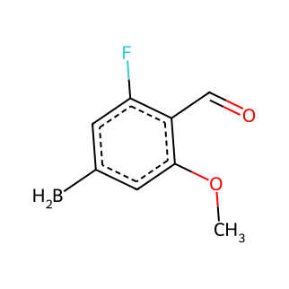 Bc1cc(F)c(C=O)c(OC)c1